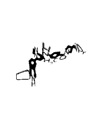 Cc1cc(Nc2ccc(-c3ccc4c(c3)CNC4=O)n3ccnc23)ccc1C(=O)N1CCC(C(C)C)C1